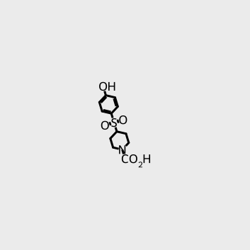 O=C(O)N1CCC(S(=O)(=O)c2ccc(O)cc2)CC1